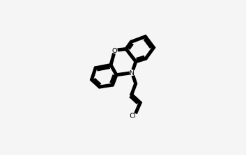 ClC=CCN1c2ccccc2Oc2ccccc21